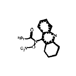 CCCC(=O)N(O[N+](=O)[O-])c1c2c(nc3ccccc13)CCCC2